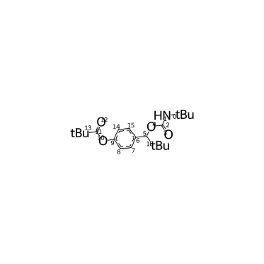 CC(C)(C)NC(=O)OC(c1ccc(OC(=O)C(C)(C)C)cc1)C(C)(C)C